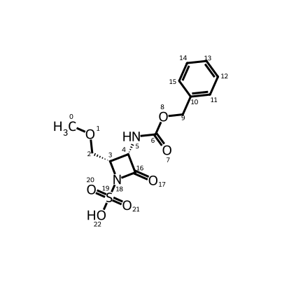 COC[C@@H]1[C@H](NC(=O)OCc2ccccc2)C(=O)N1S(=O)(=O)O